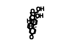 CC1C[C@H]2[C@@H]3CCC4=CC(=O)C=C[C@]4(C)[C@@]3(F)C=C[C@]2(C)[C@@]1(O)C(=O)CO